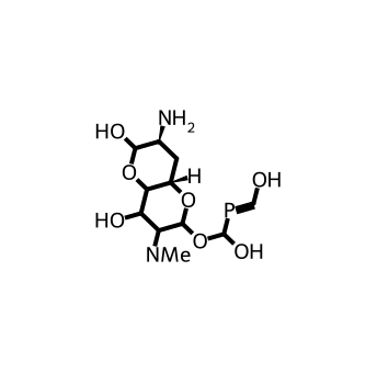 CNC1C(OC(O)/P=C/O)O[C@H]2C[C@H](N)C(O)OC2C1O